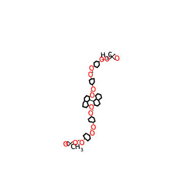 CC1(COCOc2ccc(OCOc3ccc(OCOc4ccc5ccccc5c4-c4c(OCOc5ccc(OCOc6ccc(OCOCC7(C)COC7)cc6)cc5)ccc5ccccc45)cc3)cc2)COC1